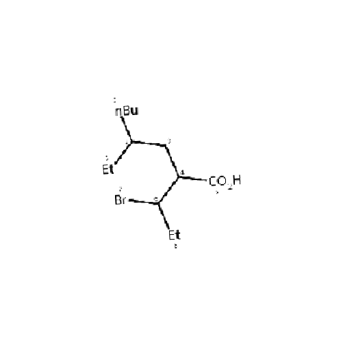 CCCCC(CC)CC(C(=O)O)C(Br)CC